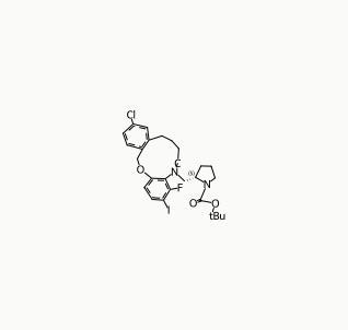 CC(C)(C)OC(=O)N1CCC[C@H]1CN1CCCCc2cc(Cl)ccc2COc2ccc(I)c(F)c21